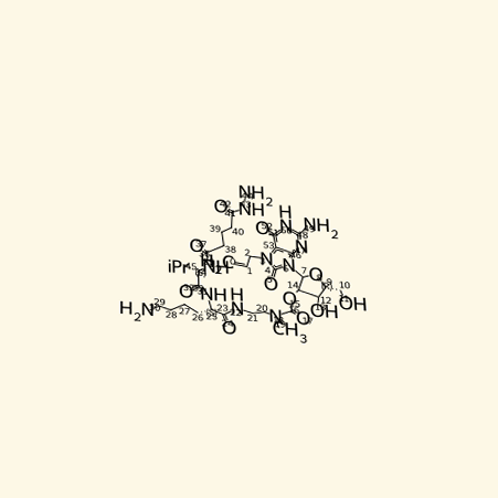 C=CCn1c(=O)n(C2O[C@H](CO)C(O)C2OC(=O)N(C)CCNC(=O)[C@H](CCCCN)NC(=O)[C@@H](NC(=O)CCCC(=O)NN)C(C)C)c2nc(N)[nH]c(=O)c21